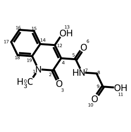 Cn1c(=O)c(C(=O)NCC(=O)O)c(O)c2ccccc21